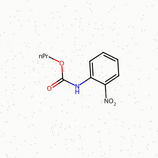 CCCOC(=O)Nc1ccccc1[N+](=O)[O-]